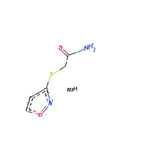 NC(=O)CSc1ccon1.[NaH]